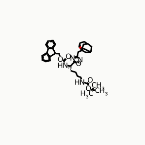 CC(C)(C)OC(=O)NCCCC[C@H](NC(=O)OCC1c2ccccc2-c2ccccc21)c1nc(CC23CC4CC(CC(C4)C2)C3)no1